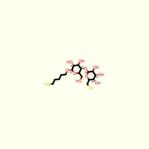 OCC1O[C@@H](OCCCCCS)[C@@H](O)C(O)[C@H]1O[C@@H]1OC(CS)[C@H](O)[C@H](O)C1O